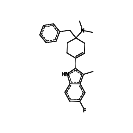 Cc1c(C2=CCC(Cc3ccccc3)(N(C)C)CC2)[nH]c2ccc(F)cc12